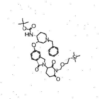 CC(C)(C)OC(=O)N[C@@H]1CCN(Cc2ccccc2)C[C@H]1Oc1ccc2c(c1)CN(C1CCC(=O)N(COCC[Si](C)(C)C)C1=O)C2=O